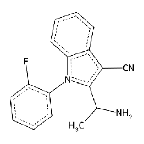 CC(N)c1c(C#N)c2ccccc2n1-c1ccccc1F